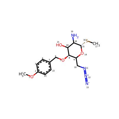 COc1ccc(CO[C@@H]2C(CN=[N+]=[N-])O[C@@H](SC)C(N)C2O)cc1